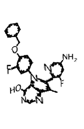 Cc1c(-c2ncc(N)cc2F)n(-c2ccc(OCc3ccccc3)c(F)c2)c2c(O)ncnc12